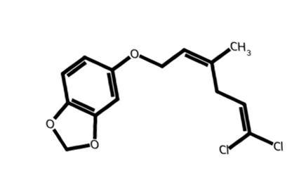 CC(=CCOc1ccc2c(c1)OCO2)CC=C(Cl)Cl